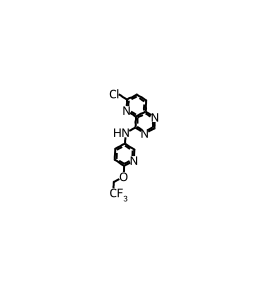 FC(F)(F)COc1ccc(Nc2ncnc3ccc(Cl)nc23)cn1